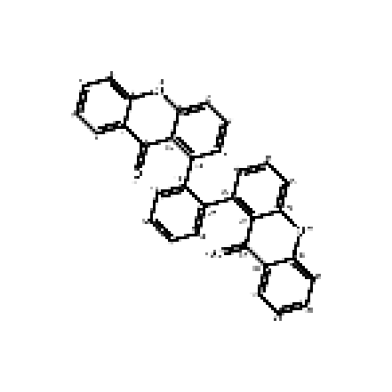 O=c1c2ccccc2oc2cccc(-c3ccccc3-c3cccc4oc5ccccc5c(=O)c34)c12